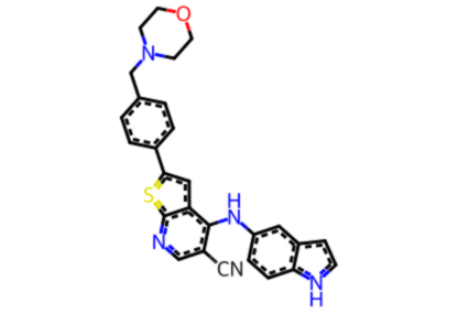 N#Cc1cnc2sc(-c3ccc(CN4CCOCC4)cc3)cc2c1Nc1ccc2[nH]ccc2c1